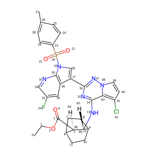 CCOC(=O)[C@@H]1C2CCC(CC2)[C@H]1Nc1nc(-c2cn(S(=O)(=O)c3ccc(C)cc3)c3ncc(F)cc23)nn2ccc(Cl)c12